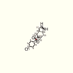 O=S(=O)(c1ccc(Cl)cc1)N1C2CCCC1C1=CNNC1C2